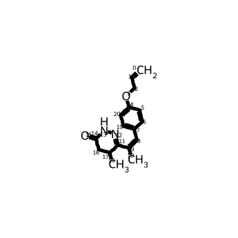 C=CCOc1ccc(C=C(C)C2=NNC(=O)CC2C)cc1